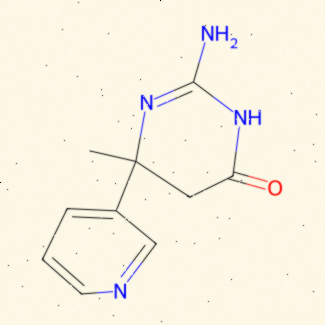 CC1(c2cccnc2)CC(=O)NC(N)=N1